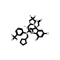 C[C@@H](C(=O)N(CC1CCCC1)c1cccc(C(F)(F)F)c1)[C@H]1CC(F)(F)CN1[C@@]1(CC(=O)O)C(=O)Nc2c(Cl)cc(Cl)cc21